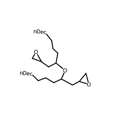 CCCCCCCCCCCCCC(CC1CO1)OC(CCCCCCCCCCCCC)CC1CO1